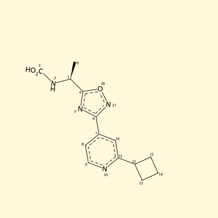 C[C@H](NC(=O)O)c1nc(-c2ccnc(C3CCC3)c2)no1